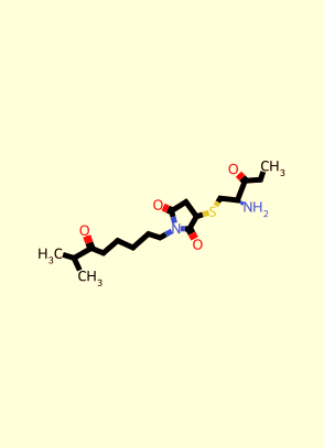 CCC(=O)[C@@H](N)CSC1CC(=O)N(CCCCCC(=O)C(C)C)C1=O